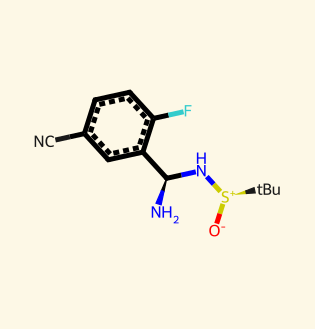 CC(C)(C)[S@@+]([O-])N[C@@H](N)c1cc(C#N)ccc1F